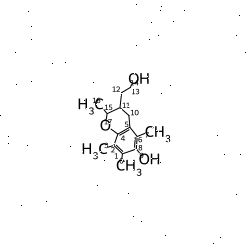 Cc1c(C)c2c(c(C)c1O)CC(CCO)C(C)O2